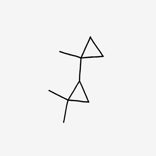 CC1(C)CC1C1(C)CC1